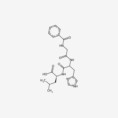 CC(C)C[C@H](NC(=O)C(Cc1c[nH]cn1)NC(=O)CNC(=O)c1ccccc1)C(=O)O